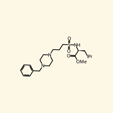 COC(=O)[C@H](CC(C)C)NS(=O)(=O)CCCN1CCN(Cc2ccccc2)CC1